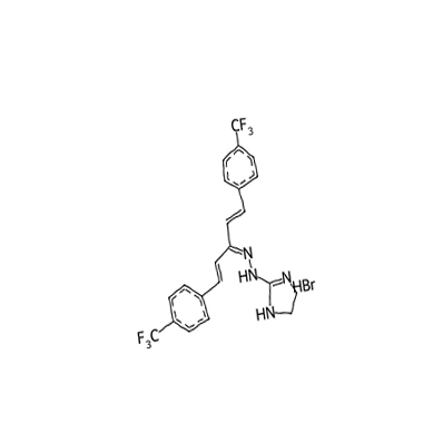 Br.FC(F)(F)c1ccc(C=CC(C=Cc2ccc(C(F)(F)F)cc2)=NNC2=NCCN2)cc1